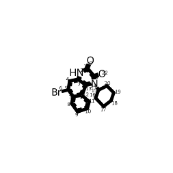 O=c1[nH]c2cc(Br)c3ccccc3c2n(C2CCCCC2)c1=O